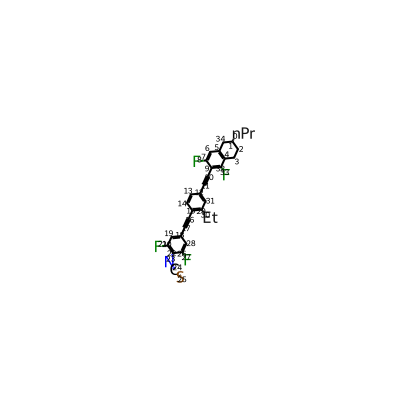 CCCC1CCc2c(cc(F)c(C#Cc3ccc(C#Cc4cc(F)c(N=C=S)c(F)c4)c(CC)c3)c2F)C1